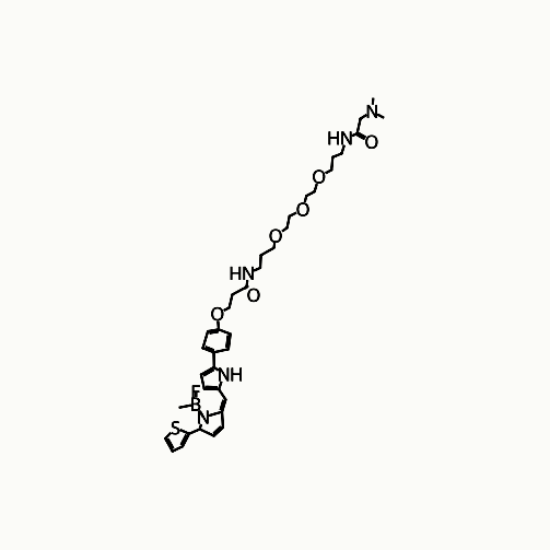 CB(F)N1/C(=C\c2ccc(-c3ccc(OCCC(=O)NCCCOCCOCCOCCCNC(=O)CN(C)C)cc3)[nH]2)C=CC1c1cccs1